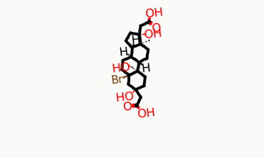 C[C@]12CC[C@H]3[C@@H](CC[C@@]4(Br)C[C@](O)(CC(=O)O)CC[C@]34CO)[C@@H]1CC[C@@]2(O)CC(=O)O